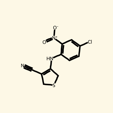 N#CC1=C(Nc2ccc(Cl)cc2[N+](=O)[O-])CSC1